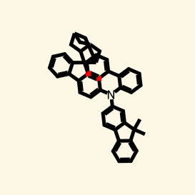 CC1(C)c2ccccc2-c2ccc(N(c3ccc4c(c3)C3(c5ccccc5-4)C4CC5CC(C4)C3C5)c3ccccc3-c3ccccc3)cc21